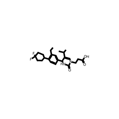 CCc1cc(C2NC(=O)N(CCC(=O)O)C=C2C(C)C)ccc1C1CCC(F)(F)CC1